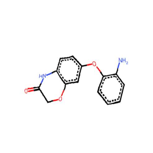 Nc1ccccc1Oc1ccc2c(c1)OCC(=O)N2